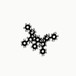 c1ccc(-c2cc3c4cc(-c5ccccc5)nc5c6c(-c7ccccc7)c7c8nc(-c9ccccc9)cc9c%10cc(-c%11ccccc%11)ncc%10n(c7cc6n(c3cn2)c45)c98)cc1